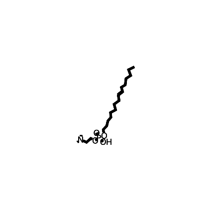 CCCCCC/C=C/CCCCCCCCOP(=O)(O)OCCN(C)C